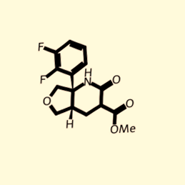 COC(=O)C1C[C@@H]2COC[C@]2(c2cccc(F)c2F)NC1=O